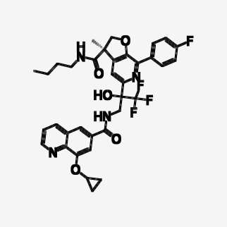 CCCCNC(=O)[C@@]1(C)COc2c1cc(C(O)(CNC(=O)c1cc(OC3CC3)c3ncccc3c1)C(F)(F)F)nc2-c1ccc(F)cc1